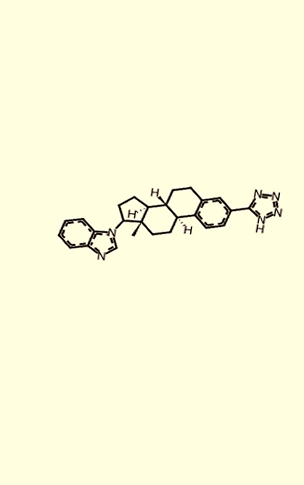 C[C@]12CC[C@@H]3c4ccc(-c5nnn[nH]5)cc4CC[C@H]3[C@@H]1CCC2n1cnc2ccccc21